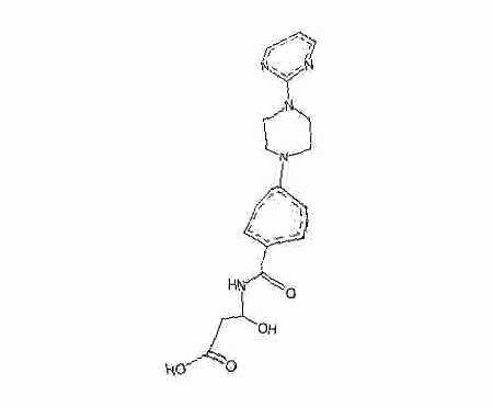 O=C(O)CC(O)NC(=O)c1ccc(N2CCN(c3ncccn3)CC2)cc1